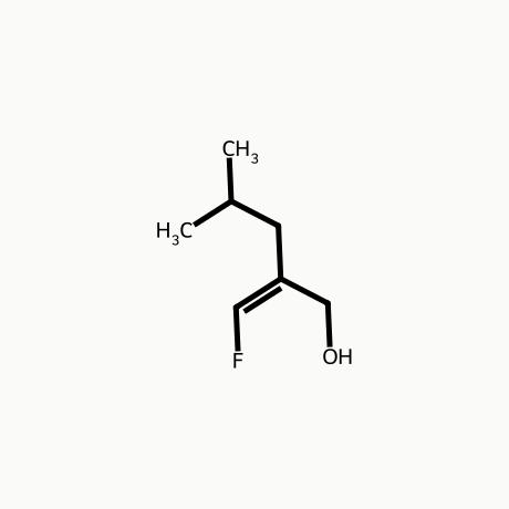 CC(C)CC(=CF)CO